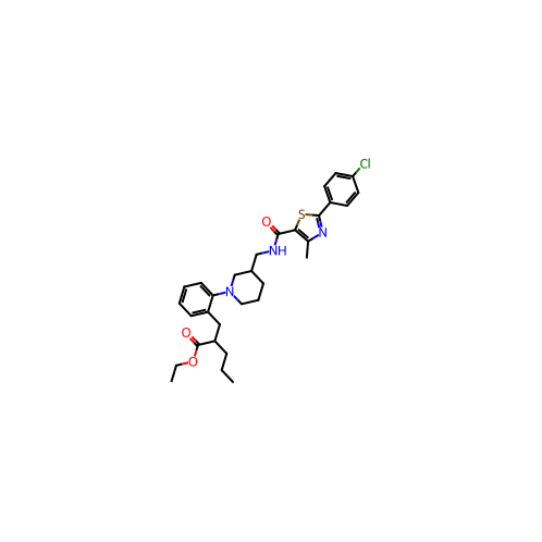 CCCC(Cc1ccccc1N1CCCC(CNC(=O)c2sc(-c3ccc(Cl)cc3)nc2C)C1)C(=O)OCC